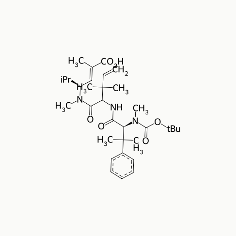 C=CC(C)(C)C(NC(=O)[C@@H](N(C)C(=O)OC(C)(C)C)C(C)(C)c1ccccc1)C(=O)N(C)[C@H](/C=C(\C)C(=O)O)C(C)C